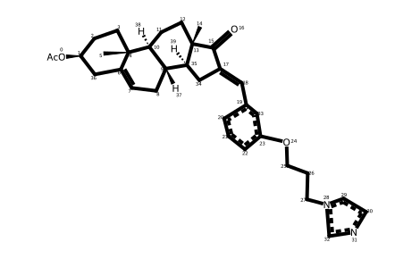 CC(=O)O[C@H]1CC[C@@]2(C)C(=CC[C@@H]3[C@@H]2CC[C@]2(C)C(=O)/C(=C/c4cccc(OCCCn5ccnc5)c4)C[C@@H]32)C1